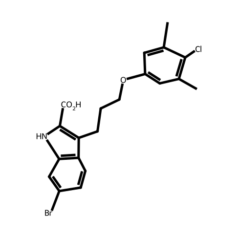 Cc1cc(OCCCc2c(C(=O)O)[nH]c3cc(Br)ccc23)cc(C)c1Cl